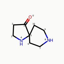 O=C1CCNC12CCNCC2